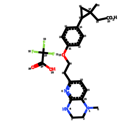 CN1CCNc2nc(CCOc3ccc(C4CC4(C)CC(=O)O)cc3)ccc21.O=C(O)C(F)(F)F